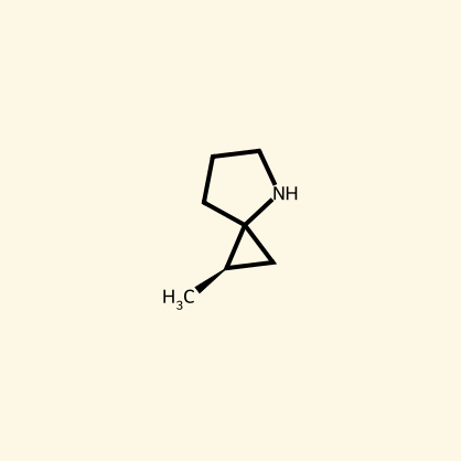 C[C@@H]1CC12CCCN2